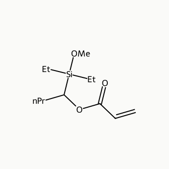 C=CC(=O)OC(CCC)[Si](CC)(CC)OC